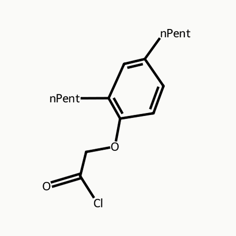 CCCCCc1ccc(OCC(=O)Cl)c(CCCCC)c1